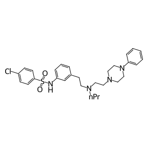 CCCN(CCc1cccc(NS(=O)(=O)c2ccc(Cl)cc2)c1)CCN1CCN(c2ccccc2)CC1